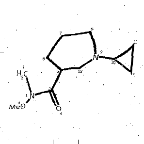 CON(C)C(=O)C1CCCN(C2CC2)C1